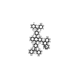 c1ccc(N(c2ccccc2)c2ccc(-c3c4ccccc4c(-c4ccc(N(c5ccccc5)c5ccccc5)cc4)c4cc(-c5cc6ncccc6c6ccccc56)ccc34)cc2)cc1